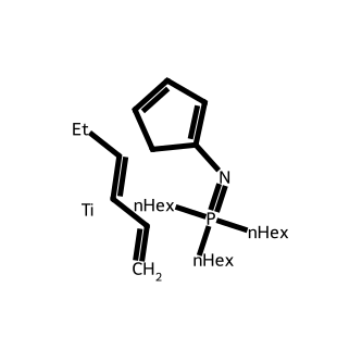 C=CC=CCC.CCCCCCP(CCCCCC)(CCCCCC)=NC1=CC=CC1.[Ti]